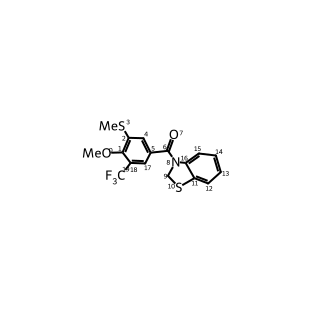 COc1c(SC)cc(C(=O)N2CSc3ccccc32)cc1C(F)(F)F